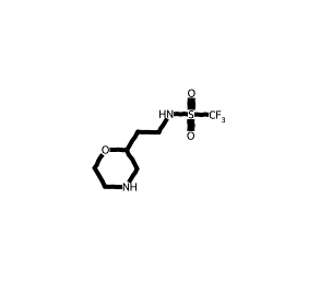 O=S(=O)(NCCC1CNCCO1)C(F)(F)F